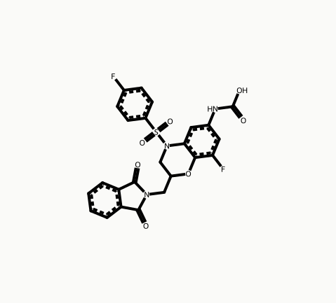 O=C(O)Nc1cc(F)c2c(c1)N(S(=O)(=O)c1ccc(F)cc1)CC(CN1C(=O)c3ccccc3C1=O)O2